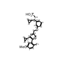 COc1ccc(F)c(-c2ncc(COc3cccc([C@@H](CC(=O)O)C4CC4)c3)nc2C2CC2)c1